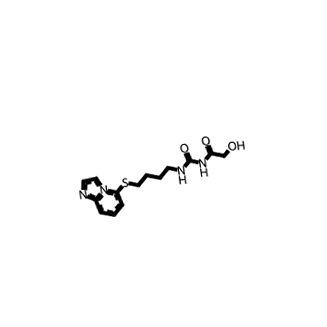 O=C(CO)NC(=O)NCCCCSc1cccc2nccn12